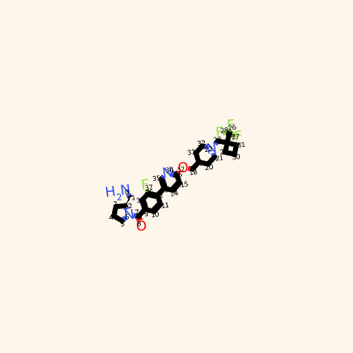 NC[C@H]1CCCN1C(=O)c1ccc(-c2ccc(OCC3CCN(CC4(C(F)(F)F)CCC4)CC3)nc2)c(F)c1